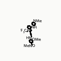 CNC(=O)c1ccc(NCC#Cc2cc3c(Nc4ccc(NC)cc4)cccc3n2CC(F)(F)F)c(OC)c1